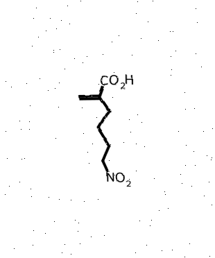 C=C(CCCC[N+](=O)[O-])C(=O)O